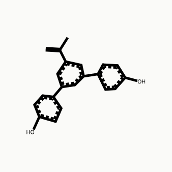 C=C(C)c1cc(-c2ccc(O)cc2)cc(-c2ccc(O)cc2)c1